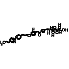 CCCc1cnc(N2CCC(CCCOc3ccc(CC(=O)N4CC(CNC[C@H](O)[C@@H](O)[C@H](O)[C@H](O)CO)C4)c(F)c3)CC2)nc1